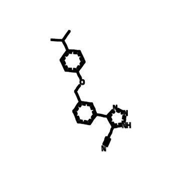 CC(C)c1ccc(OCc2cccc(-c3nn[nH]c3C#N)c2)cc1